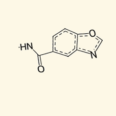 [NH]C(=O)c1ccc2ocnc2c1